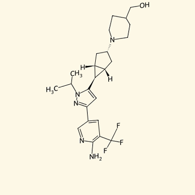 CC(C)n1nc(-c2cnc(N)c(C(F)(F)F)c2)cc1[C@H]1[C@@H]2C[C@H](N3CCC(CO)CC3)C[C@@H]21